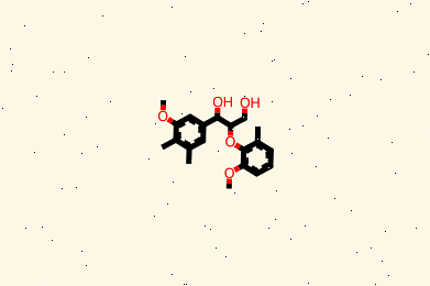 COc1cc(C(O)C(CO)Oc2c(C)cccc2OC)cc(C)c1C